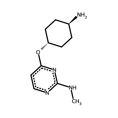 CNc1nccc(O[C@H]2CC[C@H](N)CC2)n1